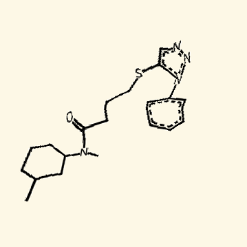 CC1CCCC(N(C)C(=O)CCCSc2cnnn2-c2ccccc2)C1